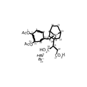 Br.CC(=O)Oc1ccc(C[N+]2(C)C3CCC2CC(C(CC(=O)O)C(=O)O)C3)cc1OC(C)=O.[Br-]